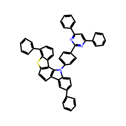 c1ccc(-c2ccc3c(c2)c2ccc4sc5c(-c6ccccc6)cccc5c4c2n3-c2ccc(-c3nc(-c4ccccc4)cc(-c4ccccc4)n3)cc2)cc1